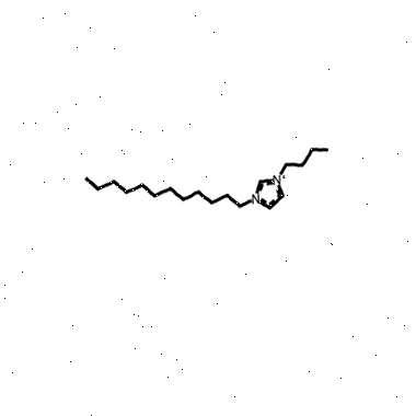 CCCCCCCCCCCCn1cc[n+](CCCC)c1